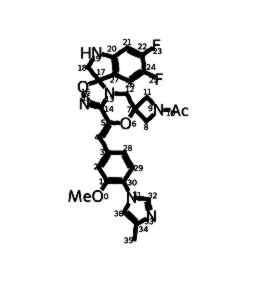 COc1cc(/C=C2\OC3(CN(C(C)=O)C3)CN3C2=NOC32CNc3cc(F)c(F)cc32)ccc1-n1cnc(C)c1